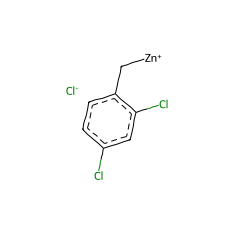 Clc1ccc([CH2][Zn+])c(Cl)c1.[Cl-]